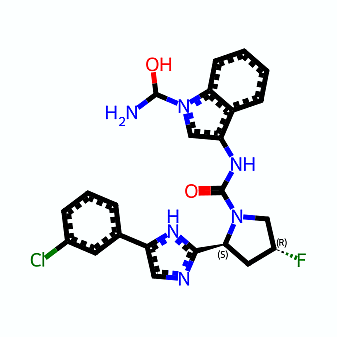 NC(O)n1cc(NC(=O)N2C[C@H](F)C[C@H]2c2ncc(-c3cccc(Cl)c3)[nH]2)c2ccccc21